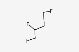 FCCC(F)CI